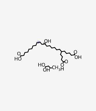 CCCC(O)O.O=C(O)CCCCCCC/C=C\C[C@H](O)CCCCCCC(CCCCC(=O)O)CCCC(=O)O